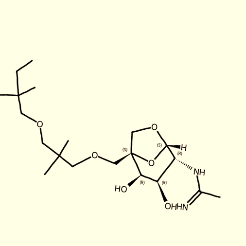 CCC(C)(C)COCC(C)(C)COC[C@@]12CO[C@@H](O1)[C@H](NC(C)=N)[C@@H](O)[C@H]2O